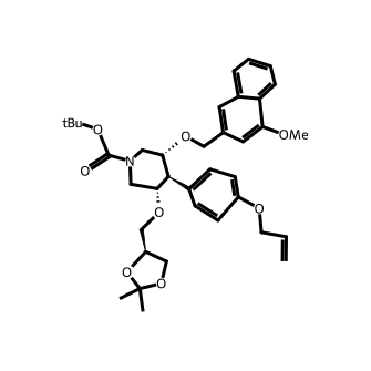 C=CCOc1ccc([C@@H]2[C@@H](OCc3cc(OC)c4ccccc4c3)CN(C(=O)OC(C)(C)C)C[C@H]2OC[C@H]2COC(C)(C)O2)cc1